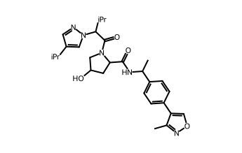 Cc1nocc1-c1ccc(C(C)NC(=O)C2CC(O)CN2C(=O)C(C(C)C)n2cc(C(C)C)cn2)cc1